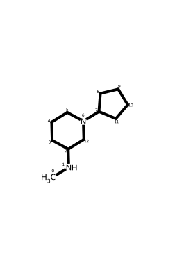 CNC1CCCN(C2CCCC2)C1